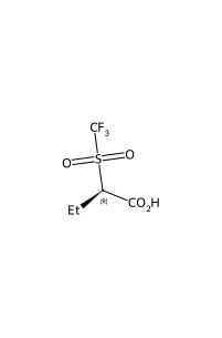 CC[C@H](C(=O)O)S(=O)(=O)C(F)(F)F